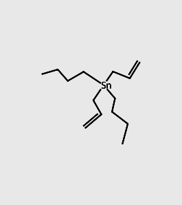 C=C[CH2][Sn]([CH2]C=C)([CH2]CCC)[CH2]CCC